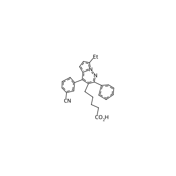 CCc1ccc2c(-c3cccc(C#N)c3)c(CCCCC(=O)O)c(-c3ccccc3)nn12